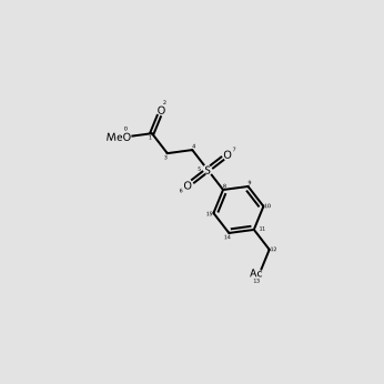 COC(=O)CCS(=O)(=O)c1ccc(CC(C)=O)cc1